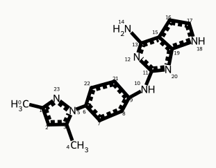 Cc1cc(C)n(-c2ccc(Nc3nc(N)c4cc[nH]c4n3)cc2)n1